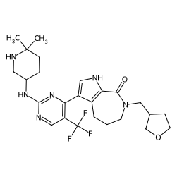 CC1(C)CCC(Nc2ncc(C(F)(F)F)c(-c3c[nH]c4c3CCCN(CC3CCOC3)C4=O)n2)CN1